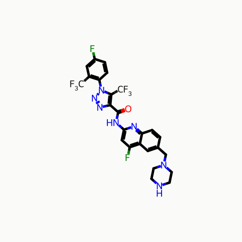 O=C(Nc1cc(F)c2cc(CN3CCNCC3)ccc2n1)c1nnn(-c2ccc(F)cc2C(F)(F)F)c1C(F)(F)F